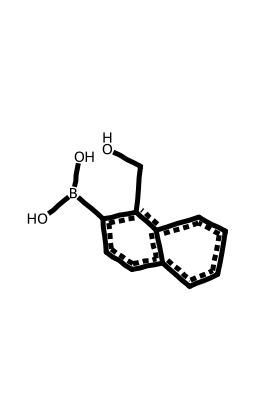 OCc1c(B(O)O)ccc2ccccc12